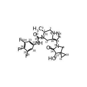 C[C@H]1Cn2ncc(N3CC4(CC4)C(O)C3=O)c2CN1C(=O)Nc1cc(F)c(F)c(F)c1